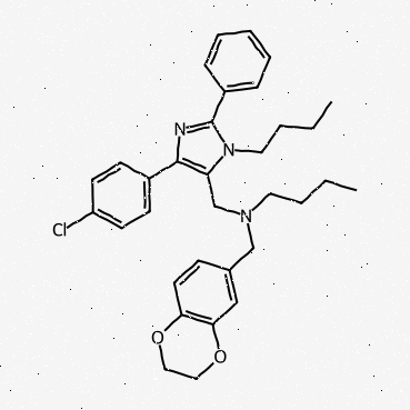 CCCCN(Cc1ccc2c(c1)OCCO2)Cc1c(-c2ccc(Cl)cc2)nc(-c2ccccc2)n1CCCC